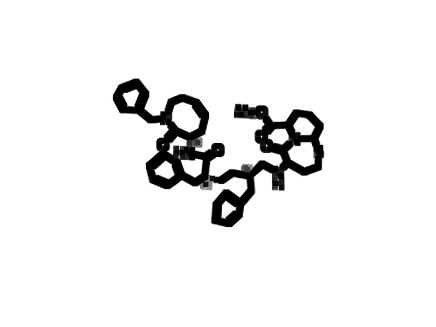 COC(=O)C1CCCC2SCCC(NC[C@H](CC[C@H](Cc3ccccc3)C(=O)N[C@H]3CC=CCCN(Cc4ccccc4)C3=O)Cc3ccccc3)C(=O)N21